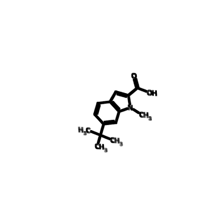 Cn1c(C(=O)O)cc2ccc(C(C)(C)C)cc21